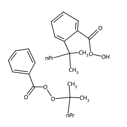 CCCC(C)(C)OOC(=O)c1ccccc1.CCCC(C)(C)c1ccccc1C(=O)OO